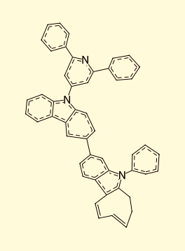 C1=C\c2c(n(-c3ccccc3)c3cc(-c4ccc5c(c4)c4ccccc4n5-c4cc(-c5ccccc5)nc(-c5ccccc5)c4)ccc23)CC/C=C/1